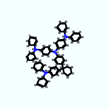 c1ccc(N(c2ccccc2)c2ccc(N(c3ccc(N(c4ccccc4)c4ccccc4)cc3)c3ccc(C4(c5ccc(N(c6ccccc6)c6ccccc6)cc5)CCCCC4)cc3)cc2)cc1